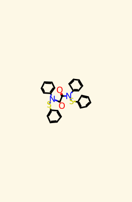 O=C(C(=O)N(Sc1ccccc1)c1ccccc1)N(Sc1ccccc1)c1ccccc1